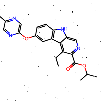 CCc1c(C(=O)OC(C)C)ncc2[nH]c3ccc(Oc4cnc(C)cn4)cc3c12